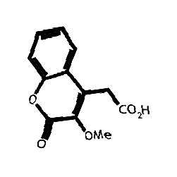 COc1c(CC(=O)O)c2ccccc2oc1=O